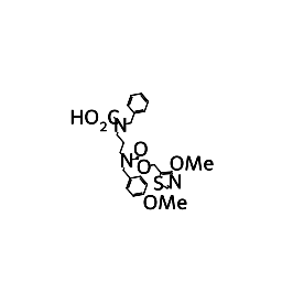 COc1ccc(CN(CCCN(Cc2ccccc2)C(=O)O)C(=O)OCc2scnc2OC)cc1